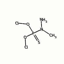 CN(N)P(=S)(OCl)OCl